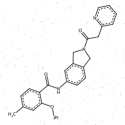 Cc1ccc(C(=O)Nc2ccc3c(c2)CN(C(=O)Cc2ccccn2)C3)c(OC(C)C)c1